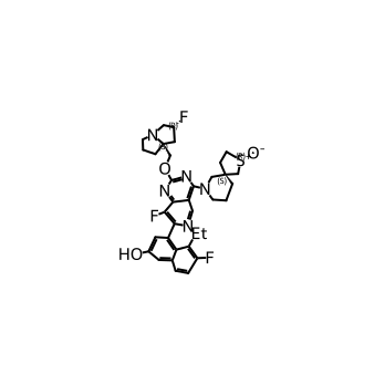 CCc1c(F)ccc2cc(O)cc(-c3ncc4c(N5CCC[C@]6(CC[S@+]([O-])C6)C5)nc(OC[C@@]56CCCN5C[C@H](F)C6)nc4c3F)c12